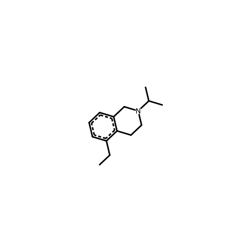 CCc1cccc2c1CCN(C(C)C)C2